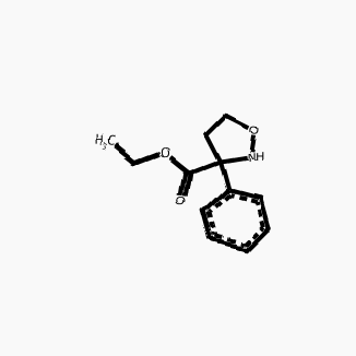 CCOC(=O)C1(c2ccccc2)CCON1